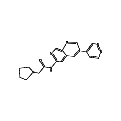 O=C(CN1CCCC1)Nc1cc2cc(-c3ccnnc3)cnc2cn1